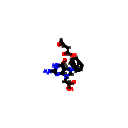 C1C2CC3CC1CC(C2)C3.Nc1nc2c(c(=O)[nH]1)NCN2CC(=O)O.O=C(O)CC1CO1